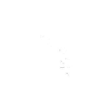 CC(C)(C)c1ccc(-c2ccc(C(=O)N[C@H]3CN4CCC3CC4)o2)cc1